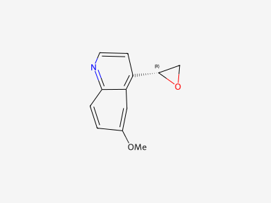 COc1ccc2nccc([C@@H]3CO3)c2c1